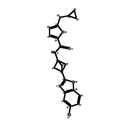 O=C(NC12CC(c3nc4cc(Cl)ccc4o3)(C1)C2)c1ccc(SC2CC2)o1